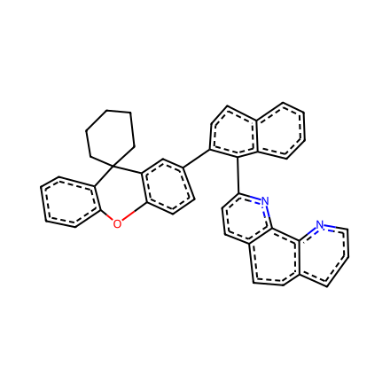 c1ccc2c(c1)Oc1ccc(-c3ccc4ccccc4c3-c3ccc4ccc5cccnc5c4n3)cc1C21CCCCC1